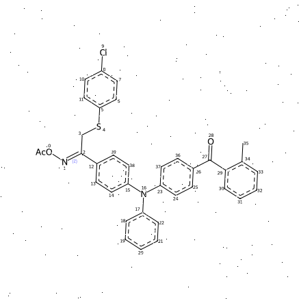 CC(=O)O/N=C(\CSc1ccc(Cl)cc1)c1ccc(N(c2ccccc2)c2ccc(C(=O)c3ccccc3C)cc2)cc1